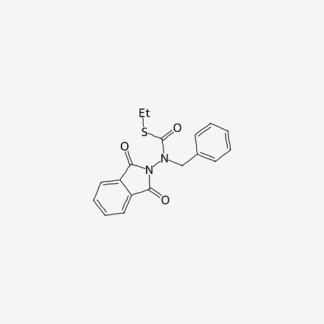 CCSC(=O)N(Cc1ccccc1)N1C(=O)c2ccccc2C1=O